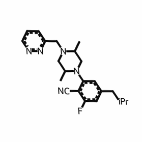 CC(C)Cc1cc(F)c(C#N)c(N2CC(C)N(Cc3cccnn3)CC2C)c1